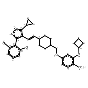 O=C(O)c1ncc(OCC2CCC(/C=C/c3c(-c4c(Cl)cncc4Cl)noc3C3CC3)CC2)cc1OC1CCC1